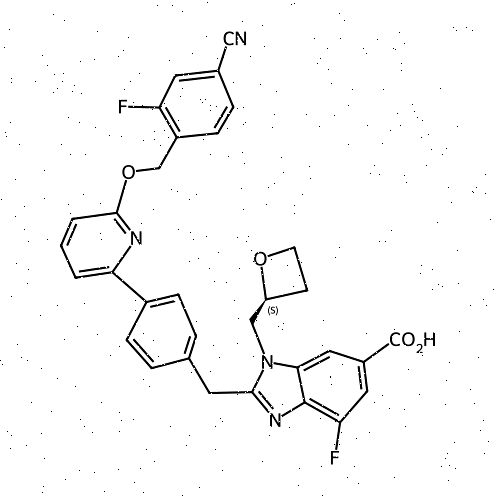 N#Cc1ccc(COc2cccc(-c3ccc(Cc4nc5c(F)cc(C(=O)O)cc5n4C[C@@H]4CCO4)cc3)n2)c(F)c1